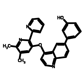 Cc1cc(Oc2ccnc3ccc(-c4cccc(O)c4)cc23)c(-c2ccccn2)nc1C